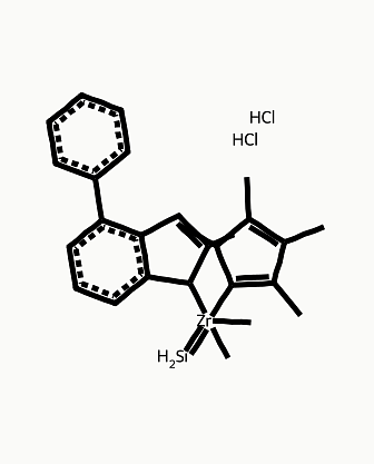 CC1=Cc2c(-c3ccccc3)cccc2[CH]1[Zr]([CH3])([CH3])(=[SiH2])[C]1=C(C)C(C)=C(C)C1C.Cl.Cl